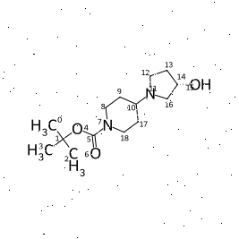 CC(C)(C)OC(=O)N1CCC(N2CC[C@H](O)C2)CC1